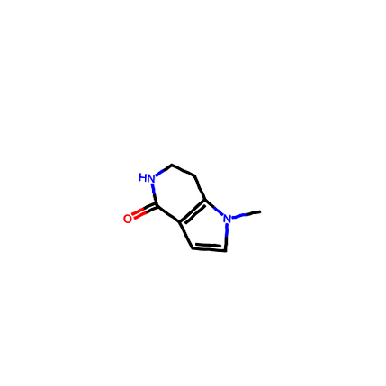 Cn1ccc2c1CCNC2=O